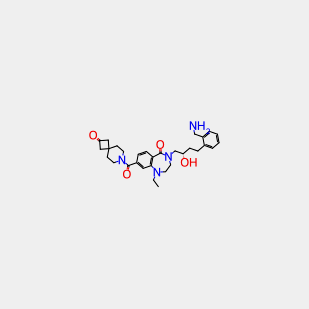 CCN1CCN(C[C@@H](O)CCc2ccccc2CN)C(=O)c2ccc(C(=O)N3CCC4(CC3)CC(=O)C4)cc21